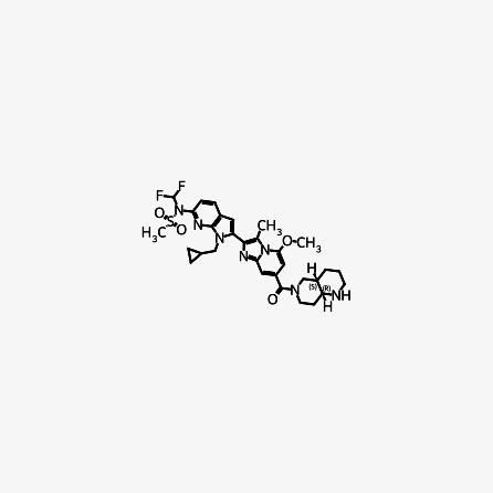 COc1cc(C(=O)N2CC[C@H]3NCCC[C@H]3C2)cc2nc(-c3cc4ccc(N(C(F)F)S(C)(=O)=O)nc4n3CC3CC3)c(C)n12